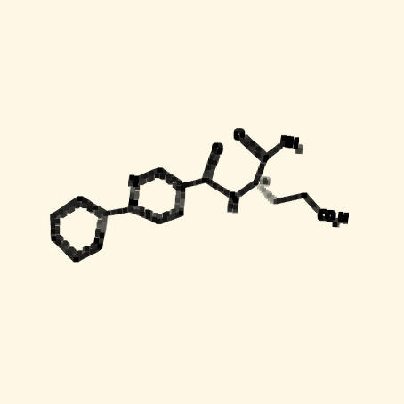 NC(=O)[C@H](CCC(=O)O)NC(=O)c1ccc(-c2ccccc2)nc1